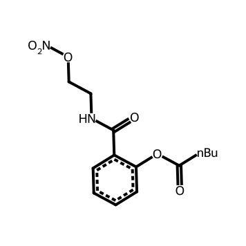 CCCCC(=O)Oc1ccccc1C(=O)NCCO[N+](=O)[O-]